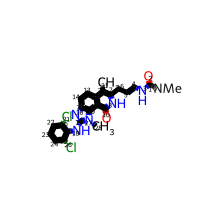 CNC(=O)N/C=C/Cc1[nH]c(=O)c2c(ccc3nc(Nc4c(Cl)cccc4Cl)n(C)c32)c1C